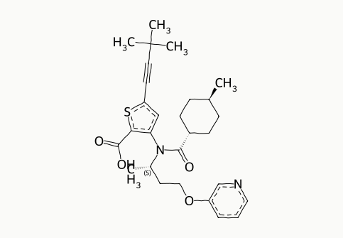 C[C@@H](CCOc1cccnc1)N(c1cc(C#CC(C)(C)C)sc1C(=O)O)C(=O)[C@H]1CC[C@H](C)CC1